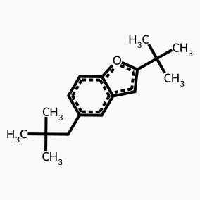 CC(C)(C)Cc1ccc2oc(C(C)(C)C)cc2c1